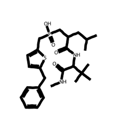 CNC(=O)C(NC(=O)C(CC(C)C)CP(=O)(O)Cc1ccc(Cc2ccccc2)s1)C(C)(C)C